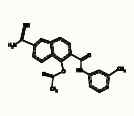 Cc1cccc(NC(=O)c2ccc3cc(C(=N)N)ccc3c2OC(=O)C(F)(F)F)c1